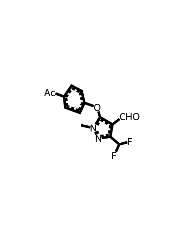 CC(=O)c1ccc(Oc2c(C=O)c(C(F)F)nn2C)cc1